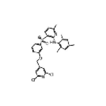 Cc1cc(C)c(Nc2nc(C)ccc2S(=O)(=O)c2cccc(OCc3cc(Cl)nc(Cl)c3)c2)c(C)c1